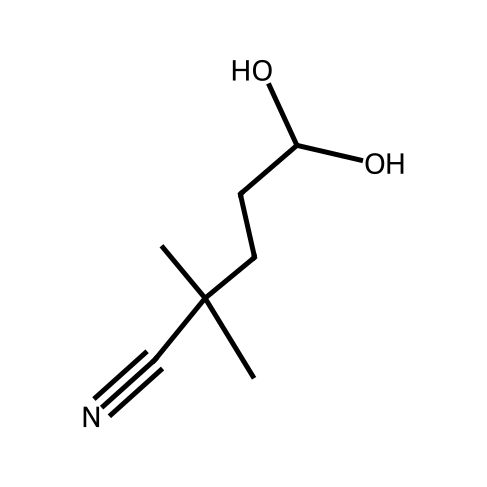 CC(C)(C#N)CCC(O)O